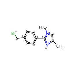 Cc1cn(C)c(-c2ccc(CBr)cc2)n1